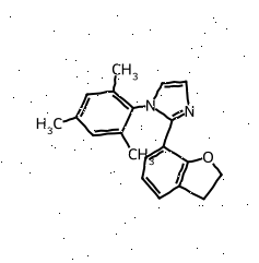 Cc1cc(C)c(-n2ccnc2-c2cccc3c2OCC3)c(C)c1